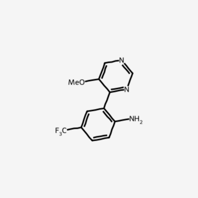 COc1cncnc1-c1cc(C(F)(F)F)ccc1N